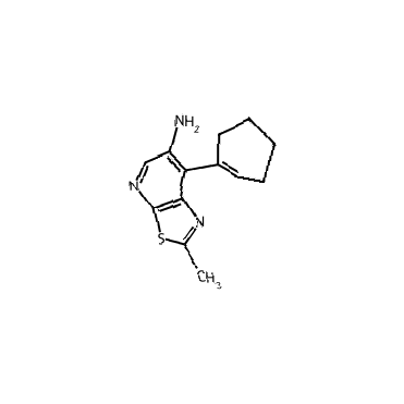 Cc1nc2c(C3=CCCCC3)c(N)cnc2s1